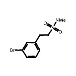 CNS(=O)(=O)CCc1cccc(Br)c1